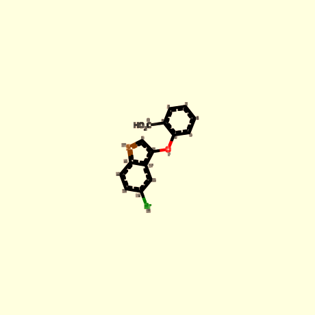 O=C(O)c1ccccc1Oc1csc2ccc(Br)cc12